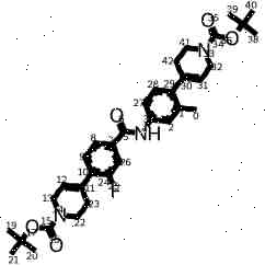 Cc1cc(NC(=O)c2ccc(C3=CCN(C(=O)OC(C)(C)C)CC3)c(F)c2)ccc1C1=CCN(C(=O)OC(C)(C)C)CC1